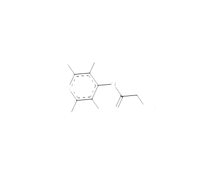 CCOC(=O)CC(=O)Nc1c(F)c(Cl)nc(CC)c1C(=O)O